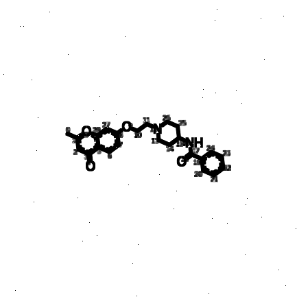 Cc1cc(=O)c2ccc(OCCN3CCC(NC(=O)c4ccccc4)CC3)cc2o1